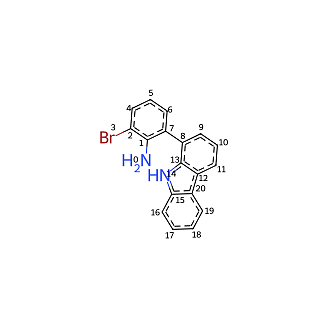 Nc1c(Br)cccc1-c1cccc2c1[nH]c1ccccc12